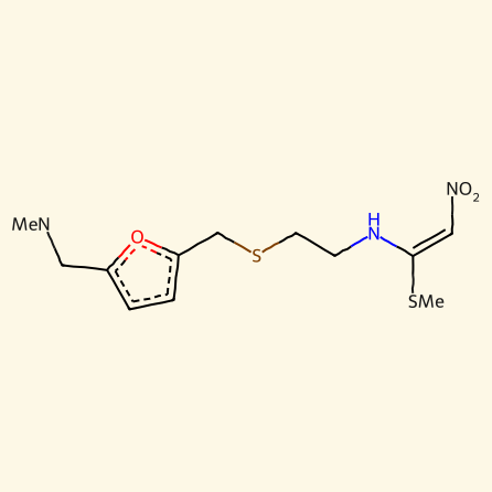 CNCc1ccc(CSCCN/C(=C\[N+](=O)[O-])SC)o1